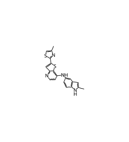 Cc1csc(-c2cc3nccc(Nc4ccc5[nH]c(C)cc5c4)c3s2)n1